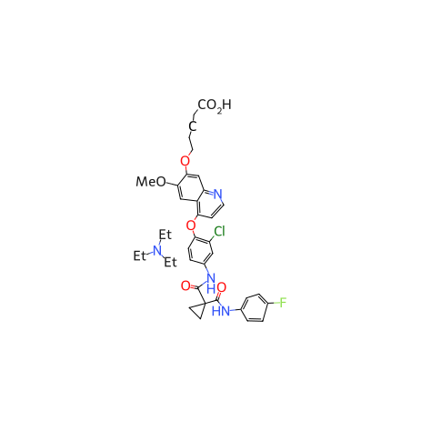 CCN(CC)CC.COc1cc2c(Oc3ccc(NC(=O)C4(C(=O)Nc5ccc(F)cc5)CC4)cc3Cl)ccnc2cc1OCCCCC(=O)O